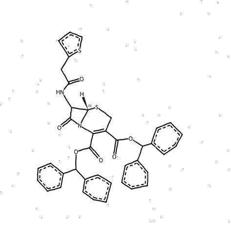 O=C(Cc1cccs1)NC1C(=O)N2C(C(=O)OC(c3ccccc3)c3ccccc3)=C(C(=O)OC(c3ccccc3)c3ccccc3)CS[C@@H]12